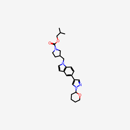 CC(C)COC(=O)N1CCC(Cn2ccc3cc(-c4cnn(C5CCCCO5)c4)ccc32)C1